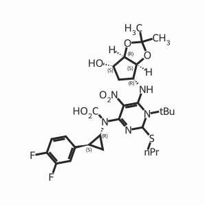 CCCSC1N=C(N(C(=O)O)[C@@H]2C[C@H]2c2ccc(F)c(F)c2)C([N+](=O)[O-])=C(N[C@@H]2C[C@H](O)[C@H]3OC(C)(C)O[C@H]32)N1C(C)(C)C